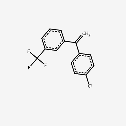 C=C(c1ccc(Cl)cc1)c1cccc(C(F)(F)F)c1